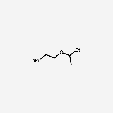 [CH2]CCCCOC(C)CC